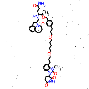 C[C@@H](OCc1ccc(CCCOCCCCCOCCCc2cccc3c2n(C)c(=O)n3C2CCC(=O)NC2=O)cc1)[C@H](CCC(N)=O)NCC1Cc2cccc3c2N1C(=O)CCC3